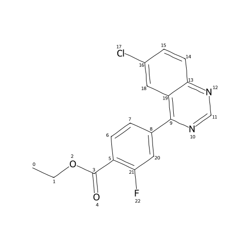 CCOC(=O)c1ccc(-c2ncnc3ccc(Cl)cc23)cc1F